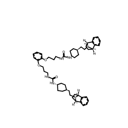 O=C(NCCCOc1ccccc1OCCCNC(=O)N[C@H]1CC[C@H](CCN2[C@@H]3CC[C@H]2c2ccccc23)CC1)N[C@H]1CC[C@H](CCN2[C@@H]3CC[C@H]2c2ccccc23)CC1